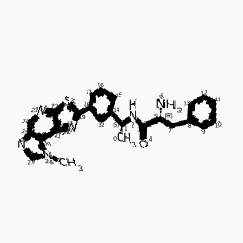 C[C@H](NC(=O)[C@H](N)Cc1ccccc1)c1cccc(-c2nc3c(ncc4ncn(C)c43)s2)c1